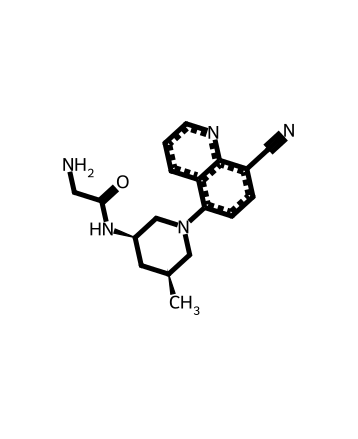 C[C@H]1C[C@@H](NC(=O)CN)CN(c2ccc(C#N)c3ncccc23)C1